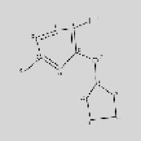 Cc1ccc(F)c(OC2CCCC2)c1